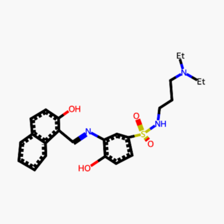 CCN(CC)CCCNS(=O)(=O)c1ccc(O)c(N=Cc2c(O)ccc3ccccc23)c1